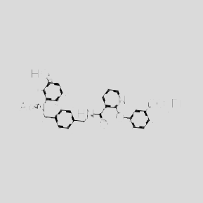 CCOC(=O)c1cccc(Oc2ncccc2C(=O)NCc2ccc(CN(C(C)=O)c3cccc(O)c3)cc2)c1